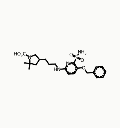 CC1(C)C[C@H](CCCNc2ccc(OCc3ccccc3)c(S(N)(=O)=O)n2)CN1C(=O)O